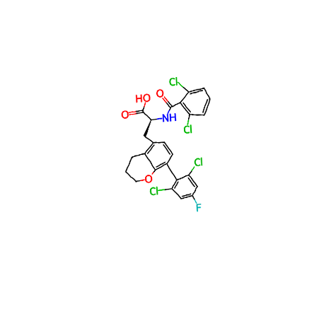 O=C(N[C@@H](Cc1ccc(-c2c(Cl)cc(F)cc2Cl)c2c1CCCO2)C(=O)O)c1c(Cl)cccc1Cl